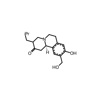 CC(C)CC1CN2CCc3cc(O)c(CO)cc3[C@H]2CC1=O